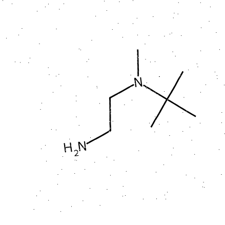 CN(CCN)C(C)(C)C